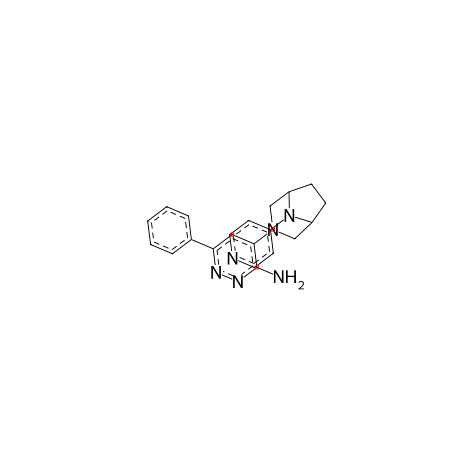 Nc1nnc(-c2ccccc2)cc1N1CC2CCC(C1)N2c1ccncc1